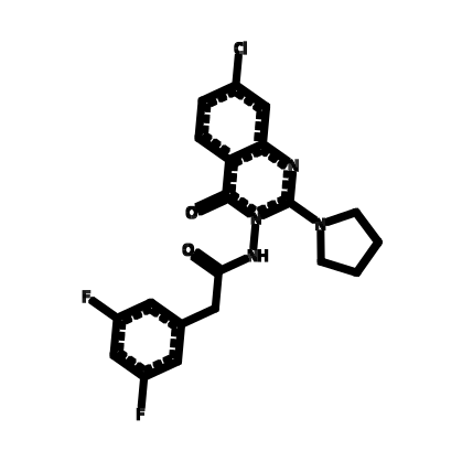 O=C(Cc1cc(F)cc(F)c1)Nn1c(N2CCCC2)nc2cc(Cl)ccc2c1=O